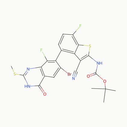 CSc1nc2c(F)c(-c3ccc(F)c4sc(NC(=O)OC(C)(C)C)c(C#N)c34)c(Br)cc2c(=O)[nH]1